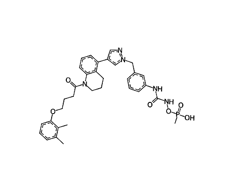 Cc1cccc(OCCCC(=O)N2CCCc3c(-c4cnn(Cc5cccc(NC(=O)NOP(C)(=O)O)c5)c4)cccc32)c1C